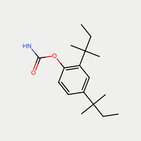 CCC(C)(C)c1ccc(OC([NH])=O)c(C(C)(C)CC)c1